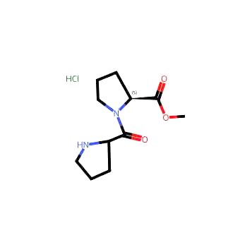 COC(=O)[C@@H]1CCCN1C(=O)C1CCCN1.Cl